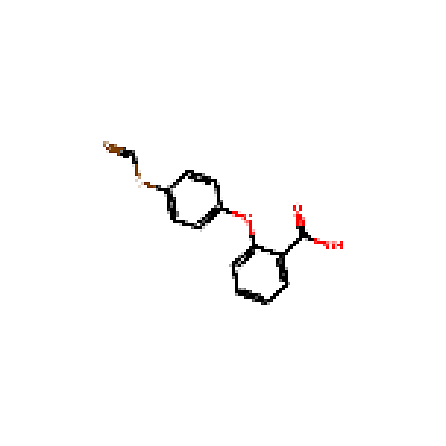 O=C(O)c1ccccc1Oc1ccc(SC=S)cc1